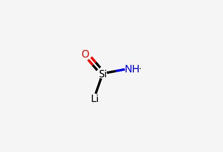 [Li][Si]([NH])=O